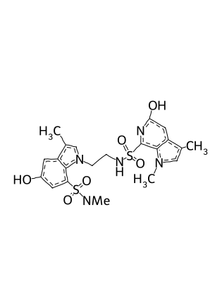 CNS(=O)(=O)c1cc(O)cc2c(C)cn(CCNS(=O)(=O)c3nc(O)cc4c(C)cn(C)c34)c12